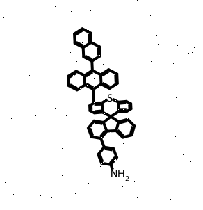 Nc1ccc(-c2cccc3c2-c2ccccc2C32c3ccccc3Sc3c(-c4c5ccccc5c(-c5ccc6ccccc6c5)c5ccccc45)cccc32)cc1